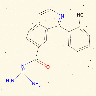 [C-]#[N+]c1ccccc1-c1nccc2ccc(C(=O)N=C(N)N)cc12